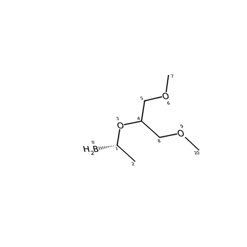 B[C@@H](C)OC(COC)COC